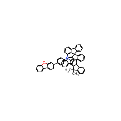 CC1(C)c2ccccc2-c2ccc(N(c3ccc(-c4ccc5c(c4)oc4ccccc45)cc3)c3cccc4c3C3(c5ccccc5-c5cc6ccccc6cc53)c3ccccc3-4)cc21